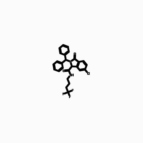 O=C(NCCCC(F)(F)F)C1c2cc(Cl)ccc2C(=O)N1C(c1ccccc1)c1ccccc1